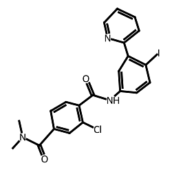 CN(C)C(=O)c1ccc(C(=O)Nc2ccc(I)c(-c3ccccn3)c2)c(Cl)c1